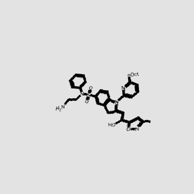 CCCCCCCCc1cccc(N2c3ccc(S(=O)(=O)N(CCN)c4ccccc4)cc3CC2CC(O)c2cc(C)no2)n1